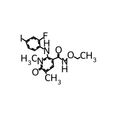 CCONC(=O)c1cc(C)c(=O)n(C)c1Nc1ccc(I)cc1F